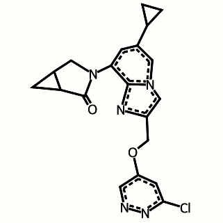 O=C1C2CC2CN1c1cc(C2CC2)cn2cc(COc3cnnc(Cl)c3)nc12